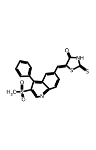 CS(=O)(=O)c1cnc2ccc(/C=C3\SC(=S)NC3=O)cc2c1-c1ccccc1